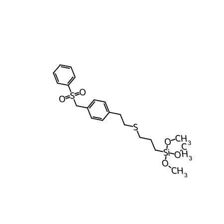 CO[Si](CCCSCCc1ccc(CS(=O)(=O)c2ccccc2)cc1)(OC)OC